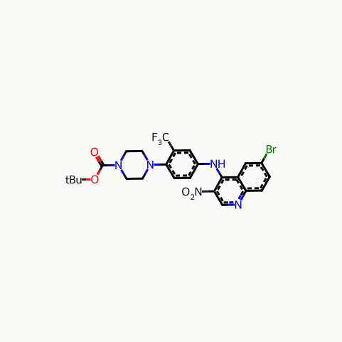 CC(C)(C)OC(=O)N1CCN(c2ccc(Nc3c([N+](=O)[O-])cnc4ccc(Br)cc34)cc2C(F)(F)F)CC1